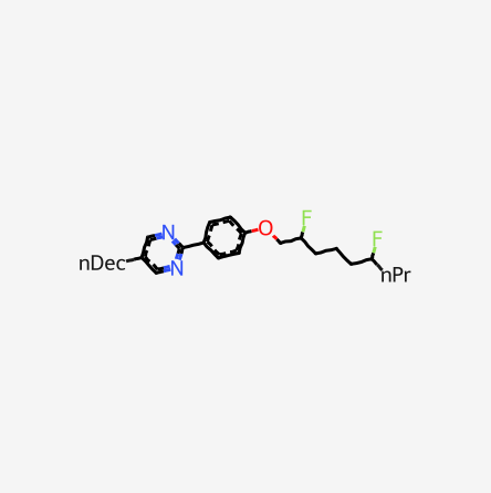 CCCCCCCCCCc1cnc(-c2ccc(OCC(F)CCCC(F)CCC)cc2)nc1